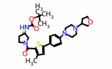 Cc1cc(-c2ccc(N3CCN(C4CCOC4)CC3)cc2)sc1C(=O)N1CC[C@H](NC(=O)OC(C)(C)C)C1